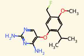 COc1cc(C(C)C)c(Oc2cnc(N)nc2N)cc1CF